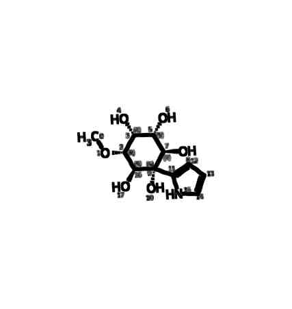 CO[C@@H]1[C@H](O)[C@H](O)[C@@H](O)[C@@](O)(c2ccc[nH]2)[C@H]1O